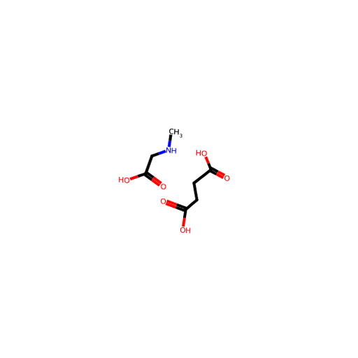 CNCC(=O)O.O=C(O)CCC(=O)O